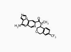 CN(C(=O)c1cc2c(cn1)nc(N)c1cncn12)C1COCc2cc(C(F)(F)F)ccc21